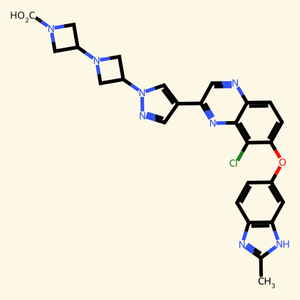 Cc1nc2ccc(Oc3ccc4ncc(-c5cnn(C6CN(C7CN(C(=O)O)C7)C6)c5)nc4c3Cl)cc2[nH]1